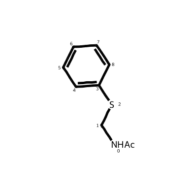 CC(=O)N[CH]Sc1ccccc1